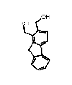 OCc1ccc2c(c1CO)Cc1ccccc1-2